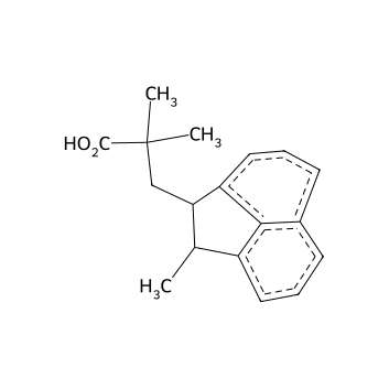 CC1c2cccc3cccc(c23)C1CC(C)(C)C(=O)O